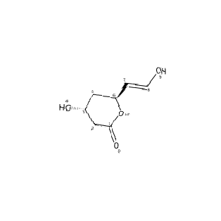 O=C1C[C@H](O)C[C@@H](/C=C/O)O1